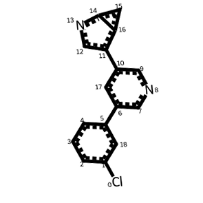 Clc1cccc(-c2cncc(-c3cnc4cc3-4)c2)c1